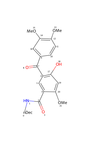 CCCCCCCCCCNC(=O)c1cc(C(=O)c2ccc(OC)c(OC)c2)c(O)cc1OC